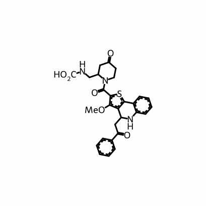 COc1c(C(=O)N2CCC(=O)CC2CNC(=O)O)sc2c1C(CC(=O)c1ccccc1)Nc1ccccc1-2